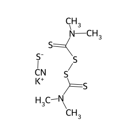 CN(C)C(=S)SSC(=S)N(C)C.N#C[S-].[K+]